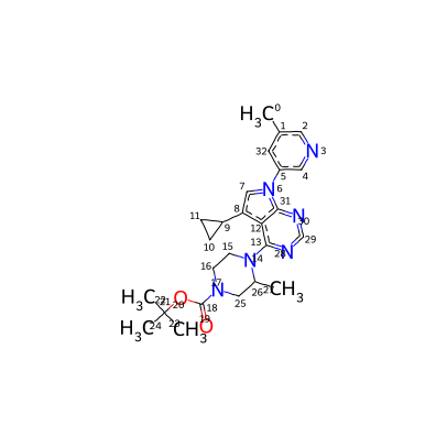 Cc1cncc(-n2cc(C3CC3)c3c(N4CCN(C(=O)OC(C)(C)C)CC4C)ncnc32)c1